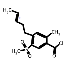 C/C=C/CCc1cc(C)c(C(=O)Cl)cc1S(C)(=O)=O